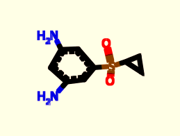 Nc1cc(N)cc(S(=O)(=O)C2CC2)c1